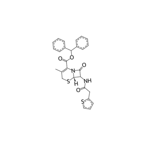 CC1=C(C(=O)OC(c2ccccc2)c2ccccc2)N2C(=O)C(NC(=O)Cc3cccs3)[C@@H]2SC1